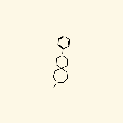 CN1CCCC2(CC1)CCN(c1ccncc1)CC2